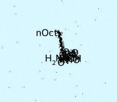 CCCCCCCC/C=C\CCCCCCCC(=O)Oc1c(C(N)=O)ncn1O[C@H]1CO[C@H](CO)[C@H]1O